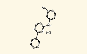 CC(=O)c1cccc(Nc2ccnc(-c3cccnc3)n2)c1.Cl